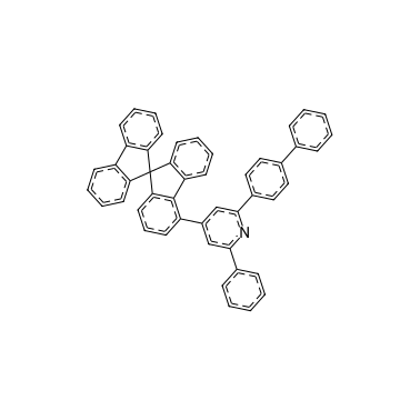 c1ccc(-c2ccc(-c3cc(-c4cccc5c4-c4ccccc4C54c5ccccc5-c5ccccc54)cc(-c4ccccc4)n3)cc2)cc1